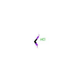 Cl.ICI